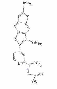 CCCCCCc1cc2cc3sc(-c4ccnc(/C(N)=C/C(=N)C(F)(F)F)c4)c(CCCCCC)c3cc2s1